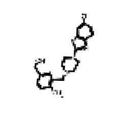 Cc1ccc(CO)cc1CN1CCN(c2nc3ccc(Cl)cc3s2)CC1